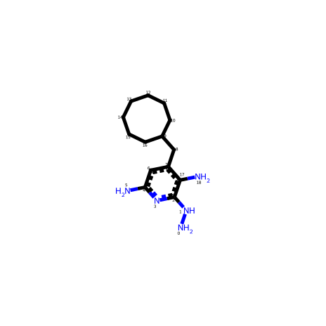 NNc1nc(N)cc(CC2CCCCCCC2)c1N